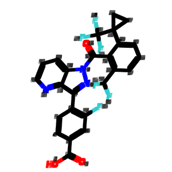 O=C(O)c1ccc(-c2nn(C(=O)c3c(C(F)F)cccc3C3(C(F)(F)F)CC3)c3cccnc23)c(F)c1